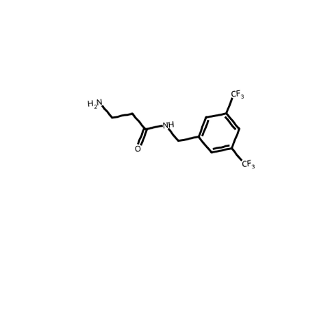 NCCC(=O)NCc1cc(C(F)(F)F)cc(C(F)(F)F)c1